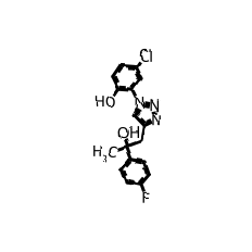 CC(O)(Cc1cn(-c2cc(Cl)ccc2O)nn1)c1ccc(F)cc1